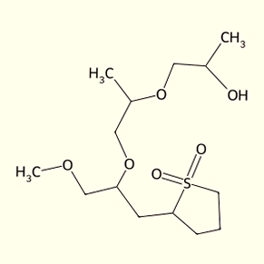 COCC(CC1CCCS1(=O)=O)OCC(C)OCC(C)O